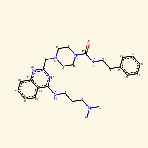 CN(C)CCCNc1nc(CN2CCN(C(=O)NCCc3ccccc3)CC2)nc2ccccc12